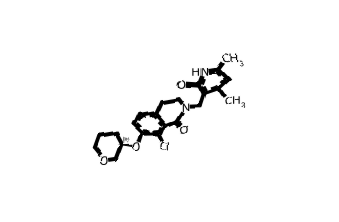 Cc1cc(C)c(CN2CCc3ccc(O[C@@H]4CCCOC4)c(Cl)c3C2=O)c(=O)[nH]1